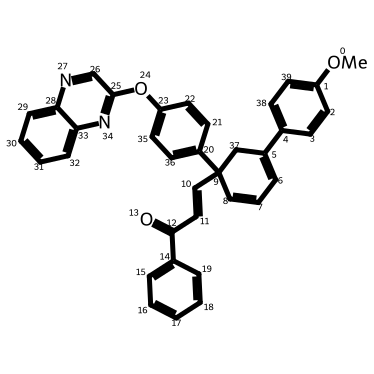 COc1ccc(C2=CC=CC(C=CC(=O)c3ccccc3)(c3ccc(Oc4cnc5ccccc5n4)cc3)C2)cc1